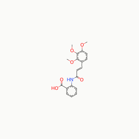 COc1ccc(/C=C/C(=O)Nc2ccccc2C(=O)O)c(OC)c1OC